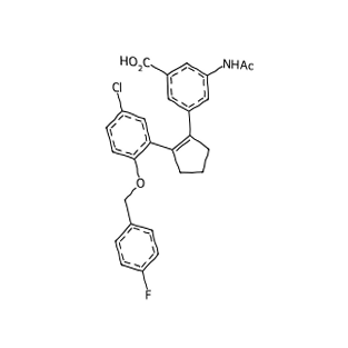 CC(=O)Nc1cc(C(=O)O)cc(C2=C(c3cc(Cl)ccc3OCc3ccc(F)cc3)CCC2)c1